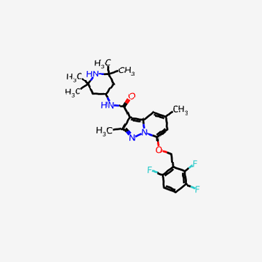 Cc1cc(OCc2c(F)ccc(F)c2F)n2nc(C)c(C(=O)NC3CC(C)(C)NC(C)(C)C3)c2c1